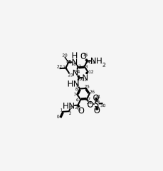 C=CCNC(=O)c1cc(Nc2ncc(C(N)=O)c(N[C@H](C)C(C)C)n2)ccc1OS(C)(=O)=O